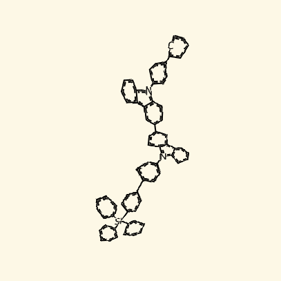 c1ccc(-c2ccc(-n3c4ccccc4c4cc(-c5ccc6c(c5)c5ccccc5n6-c5ccc(-c6ccc([Si](c7ccccc7)(c7ccccc7)c7ccccc7)cc6)cc5)ccc43)cc2)cc1